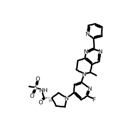 CC1c2cnc(-c3ccccn3)nc2CCN1c1cc(N2CC[C@H](C(=O)NS(C)(=O)=O)C2)cc(F)n1